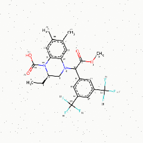 CC[C@@H]1CN(C(C(=O)OC)c2cc(C(F)(F)F)cc(C(F)(F)F)c2)c2cc(C)c(C)cc2N1C(=O)O